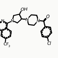 O=C(c1ccc(Cl)cc1)N1CCN(C2CN(c3ncnc4cc(C(F)(F)F)ccc34)CC2O)CC1